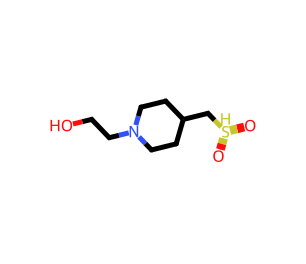 O=[SH](=O)CC1CCN(CCO)CC1